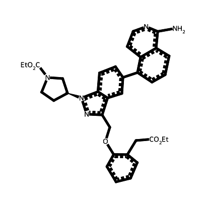 CCOC(=O)Cc1ccccc1OCc1nn([C@H]2CCN(C(=O)OCC)C2)c2ccc(-c3cccc4c(N)nccc34)cc12